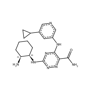 NC(=O)c1nnc(N[C@@H]2CCCC[C@@H]2N)nc1Nc1cncc(C2CC2)c1